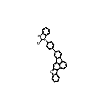 CCC1Nc2ccccc2N1c1ccc(-c2ccc3c(c2)-c2cc4oc5ccccc5c4c4cccc-3c24)cc1